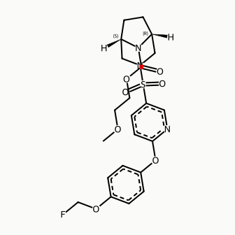 COCCOC(=O)N1[C@@H]2CC[C@H]1CN(S(=O)(=O)c1ccc(Oc3ccc(OCF)cc3)nc1)C2